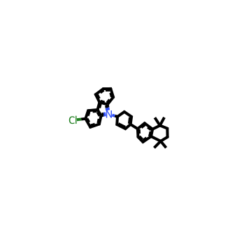 CC1(C)CCC(C)(C)c2cc(C3=CCC(n4c5ccccc5c5cc(Cl)ccc54)C=C3)ccc21